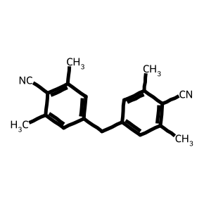 Cc1cc(Cc2cc(C)c(C#N)c(C)c2)cc(C)c1C#N